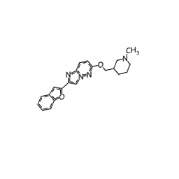 CN1CCCC(COc2ccc3nc(-c4cc5ccccc5o4)cn3n2)C1